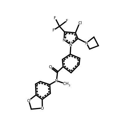 CN(C(=O)c1cccc(-n2nc(C(F)(F)F)c(Cl)c2N2CCC2)c1)c1ccc2c(c1)OCO2